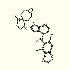 CN1CC[C@@H](c2cc3c(Nc4c(F)cc5scnc5c4F)ccnc3s2)C12CCOCC2